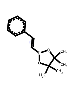 CC1(C)OB(/C=C/c2ccccc2)OC1(C)C